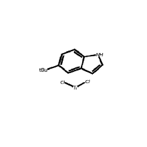 CC(C)(C)c1ccc2[nH]c[c]c2c1.[Cl][Ti][Cl]